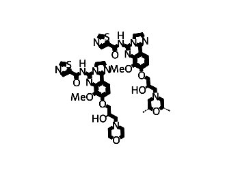 COc1c(OC[C@@H](O)CN2CCOCC2)ccc2c1N=C(NC(=O)c1cncs1)N1CCN=C21.COc1c(OC[C@H](O)CN2C[C@@H](C)O[C@@H](C)C2)ccc2c1N=C(NC(=O)c1cncs1)N1CCN=C21